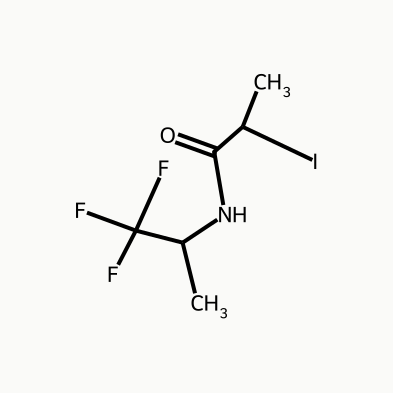 CC(I)C(=O)NC(C)C(F)(F)F